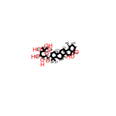 C[C@@H]1CC[C@]2(C(=O)O)CC[C@]3(C)C(=CCC4[C@@]5(C)CC[C@H](C(=O)[C@@H]6OC(CO)(C(=O)O)CC(O)C6O)C(C)(C)C5CC[C@]43C)C2[C@H]1C